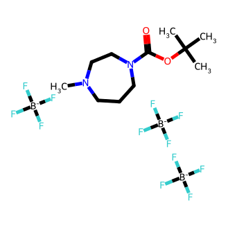 CN1CCCN(C(=O)OC(C)(C)C)CC1.F[B-](F)(F)F.F[B-](F)(F)F.F[B-](F)(F)F